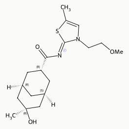 COCCn1cc(C)s/c1=N\C(=O)[C@H]1C[C@H]2C[C@@H](C1)C[C@@](C)(O)C2